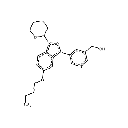 NCCCOc1ccc2c(c1)c(-c1cncc(CO)c1)nn2C1CCCCO1